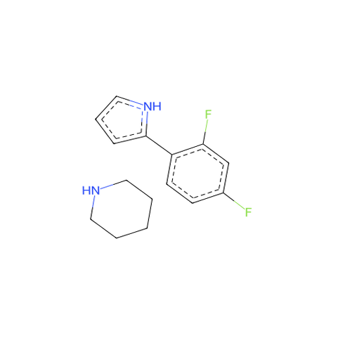 C1CCNCC1.Fc1ccc(-c2ccc[nH]2)c(F)c1